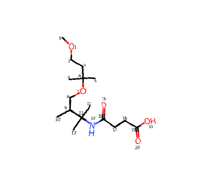 COCCC(C)(C)OCC(C)C(C)(C)NC(=O)CCC(=O)O